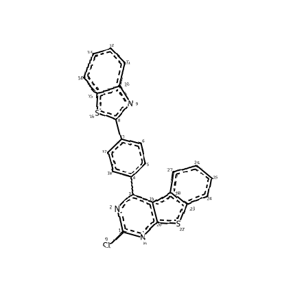 Clc1nc(-c2ccc(-c3nc4ccccc4s3)cc2)c2c(n1)sc1ccccc12